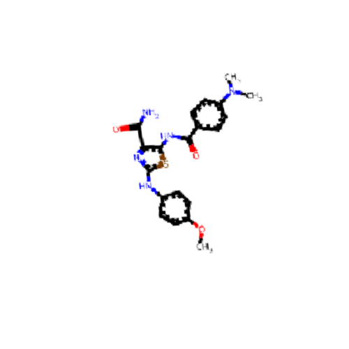 COc1ccc(Nc2nc(C(N)=O)c(NC(=O)c3ccc(N(C)C)cc3)s2)cc1